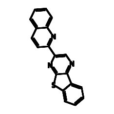 c1ccc2nc(-c3cnc4c(n3)sc3ccccc34)ccc2c1